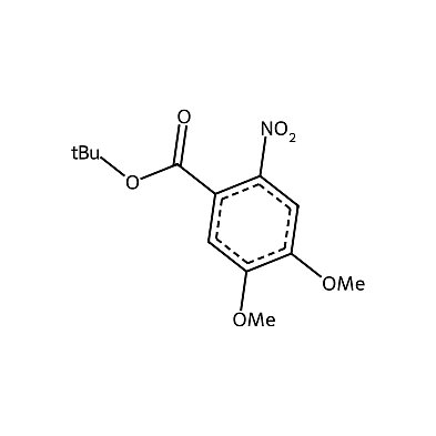 COc1cc(C(=O)OC(C)(C)C)c([N+](=O)[O-])cc1OC